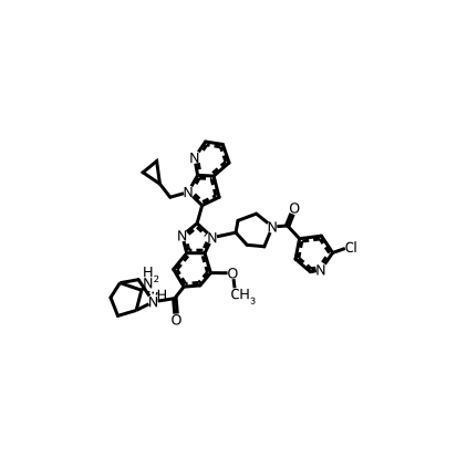 COc1cc(C(=O)N2CC3CCC2[C@@H]3N)cc2nc(-c3cc4cccnc4n3CC3CC3)n(C3CCN(C(=O)c4ccnc(Cl)c4)CC3)c12